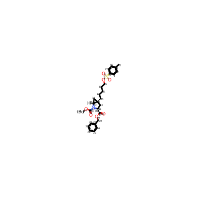 Cc1ccc(S(=O)(=O)OCCCCC[C@@]23C[C@@H](C(=O)OCc4ccccc4)N(C(=O)OC(C)(C)C)[C@@H]2C3)cc1